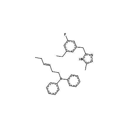 CCC=CCCB(c1ccccc1)c1ccccc1.CCc1cc(F)cc(Cc2ncc(C)[nH]2)c1